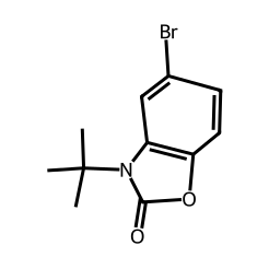 CC(C)(C)n1c(=O)oc2ccc(Br)cc21